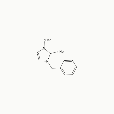 CCCCCCCCCCN1C=CN(Cc2ccccc2)C1CCCCCCCCC